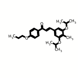 CCCOc1ccc(C(=O)C=Cc2cc(OC(C)C)c(C)c(OC(C)C)c2)cc1